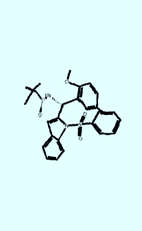 COc1ccc(C)cc1[C@@H](N[S@@+]([O-])C(C)(C)C)c1cc2ccccc2n1S(=O)(=O)c1ccccc1